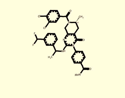 CNC(=O)c1ccc(-n2c(NC(C)c3cccc(C(F)F)c3)nc3c(c2=O)C[C@@H](C)N(C(=O)c2ccc(Cl)c(Cl)c2)C3)cc1